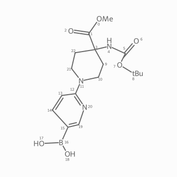 COC(=O)C1(NC(=O)OC(C)(C)C)CCN(c2ccc(B(O)O)cn2)CC1